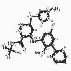 [2H]C([2H])([2H])NC(=O)c1nnc(Nc2cn(C)nn2)cc1Nc1cc(F)cc(-c2ncccn2)c1OC